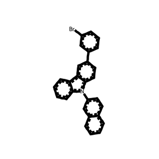 Brc1cccc(-c2ccc3c(c2)c2ccccc2n3-c2ccc3ccccc3c2)c1